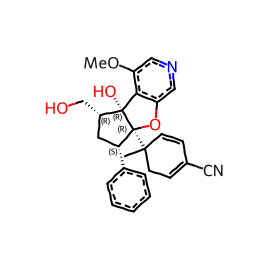 COc1cncc2c1[C@]1(O)[C@@H](CO)C[C@@H](c3ccccc3)[C@]1(C1(C)C=CC(C#N)=CC1)O2